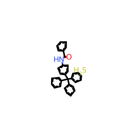 O=C(Nc1ccc(C(c2ccccc2)(c2ccccc2)c2ccccc2)cc1)c1ccccc1.S